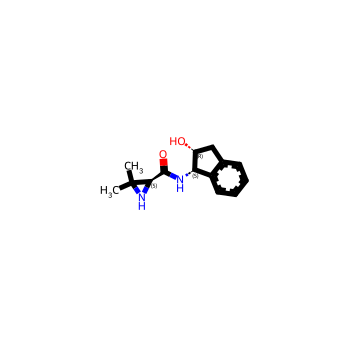 CC1(C)N[C@@H]1C(=O)N[C@H]1c2ccccc2C[C@H]1O